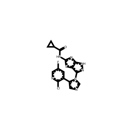 O=C(Nc1nc2[nH]nc(-n3cncc3-c3cc(F)cnc3Cl)c2s1)C1CC1